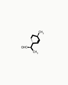 C[C@H]1C=C[C@H]([C@@H](C)C=O)CC1